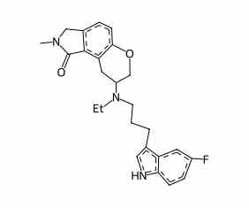 CCN(CCCc1c[nH]c2ccc(F)cc12)C1COc2ccc3c(c2C1)C(=O)N(C)C3